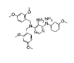 COc1ccc(CN(Cc2ccc(OC)cc2OC)c2ncnc(N(N)C3CCCC(OC)C3)c2N)c(OC)c1